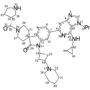 CC(C)n1cnc2cc(-c3ccc4c(c3)N(C3CC(N5CCCCC5)C3)C(=O)C43CCN(C(=O)[C@@H]4CCNC4)CC3)nc(NC3CC3)c21